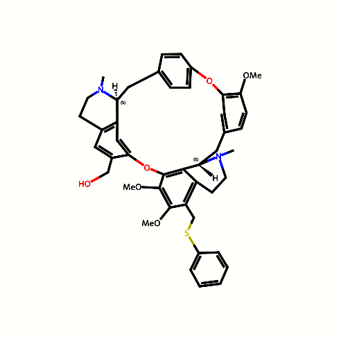 COc1ccc2cc1Oc1ccc(cc1)C[C@H]1c3cc(c(CO)cc3CCN1C)Oc1c(OC)c(OC)c(CSc3ccccc3)c3c1[C@H](C2)N(C)CC3